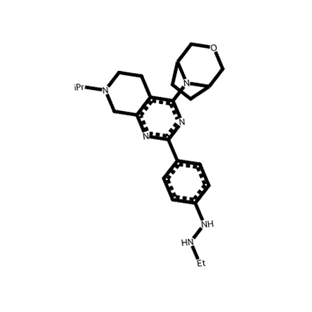 CCNNc1ccc(-c2nc3c(c(N4C5CCC4COC5)n2)CCN(C(C)C)C3)cc1